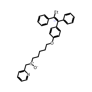 CC/C(=C(\c1ccccc1)c1ccc(OCCCCC[S+]([O-])Cc2ccccn2)cc1)c1ccccc1